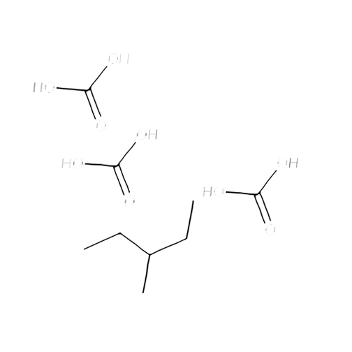 CCC(C)CC.O=C(O)O.O=C(O)O.O=C(O)O